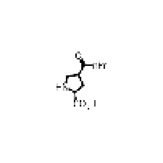 CCCC(=O)C1CN[C@H](C(=O)O)C1